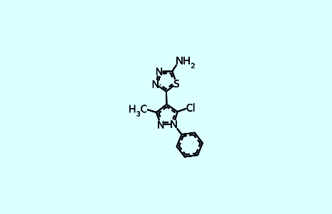 Cc1nn(-c2ccccc2)c(Cl)c1-c1nnc(N)s1